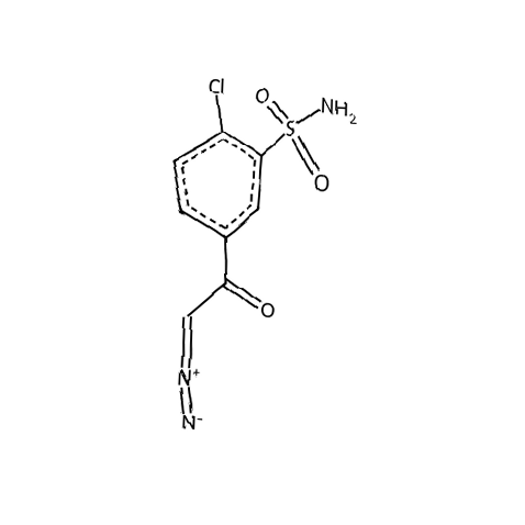 [N-]=[N+]=CC(=O)c1ccc(Cl)c(S(N)(=O)=O)c1